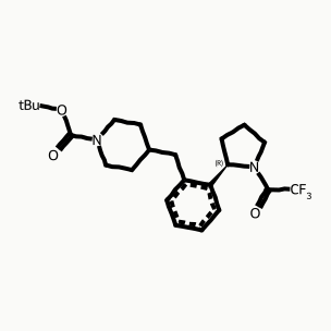 CC(C)(C)OC(=O)N1CCC(Cc2ccccc2[C@H]2CCCN2C(=O)C(F)(F)F)CC1